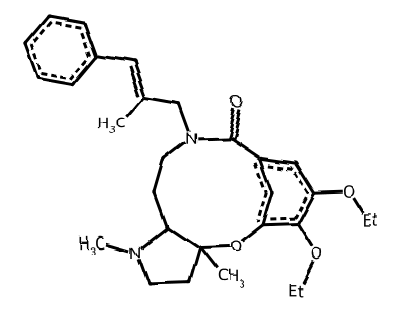 CCOc1cc2cc(c1OCC)OC1(C)CCN(C)C1CCN(C/C(C)=C/c1ccccc1)C2=O